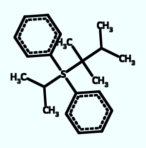 CC(C)C(C)(C)S(c1ccccc1)(c1ccccc1)C(C)C